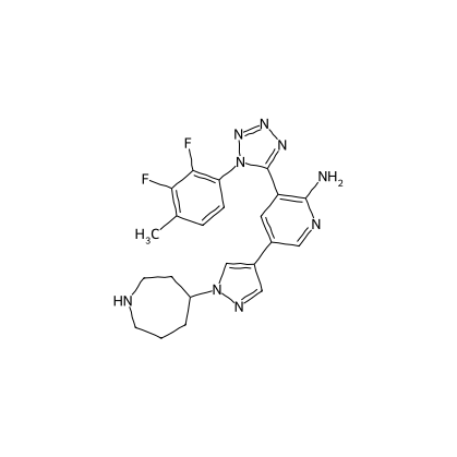 Cc1ccc(-n2nnnc2-c2cc(-c3cnn(C4CCCNCC4)c3)cnc2N)c(F)c1F